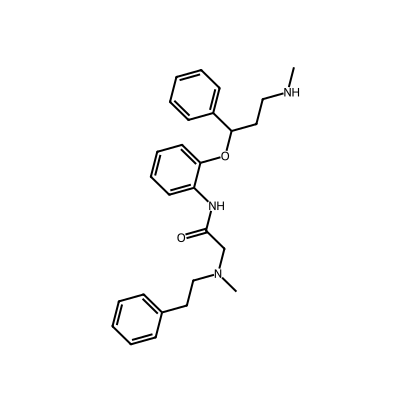 CNCCC(Oc1ccccc1NC(=O)CN(C)CCc1ccccc1)c1ccccc1